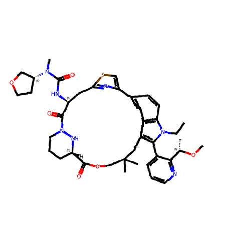 CCn1c(-c2cccnc2[C@H](C)OC)c2c3cc(ccc31)-c1csc(n1)C[C@H](NC(=O)N(C)[C@@H]1CCOC1)C(=O)N1CCC[C@H](N1)C(=O)OCC(C)(C)C2